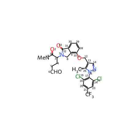 CNC(=O)C(CCC=O)N1Cc2c(OCc3cnn(-c4c(Cl)cc(C(F)(F)F)cc4Cl)c3C)cccc2C1=O